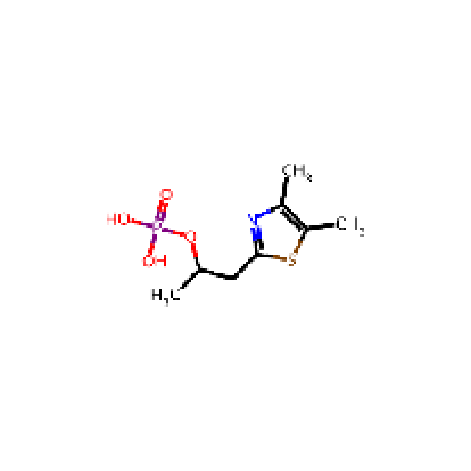 Cc1nc(CC(C)OP(=O)(O)O)sc1C